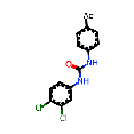 CC(=O)c1ccc(NC(=O)Nc2ccc(Cl)c(Cl)c2)cc1